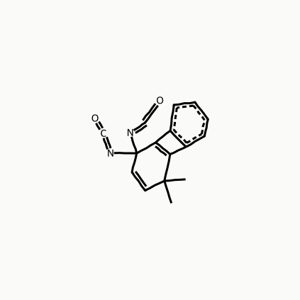 CC1(C)C=CC(N=C=O)(N=C=O)C2=C1c1ccccc12